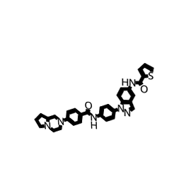 O=C(Nc1ccc(-n2ncc3cc(NC(=O)c4cccs4)ccc32)cc1)c1ccc(N2CCN3CCCC3C2)cc1